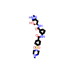 CN1CCN(S(=O)(=O)c2ccc(C(=O)Nc3cccc(C(=O)N[C@H](CO)Cc4c[nH]cn4)c3)cc2)CC1